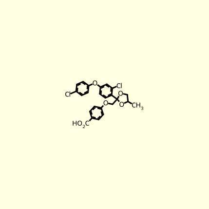 CC1COC(COc2ccc(C(=O)O)cc2)(c2ccc(Oc3ccc(Cl)cc3)cc2Cl)O1